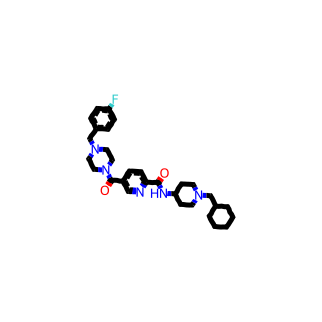 O=C(NC1CCN(CC2CCCCC2)CC1)c1ccc(C(=O)N2CCN(Cc3ccc(F)cc3)CC2)cn1